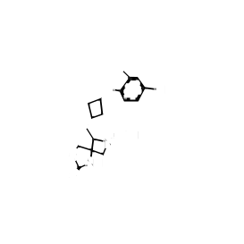 O=C1NC2(CO1)CN(C(=O)O)C2C[C@H]1C[C@@H](Oc2ccc(C(F)(F)F)cc2F)C1